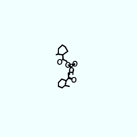 CC1CCCCC1C(=O)CO[PH](=O)OCC(=O)C1CCCCC1C